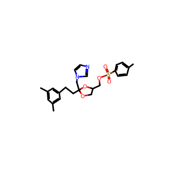 Cc1ccc(S(=O)(=O)OCC2COC(CCc3cc(C)cc(C)c3)(Cn3ccnc3)O2)cc1